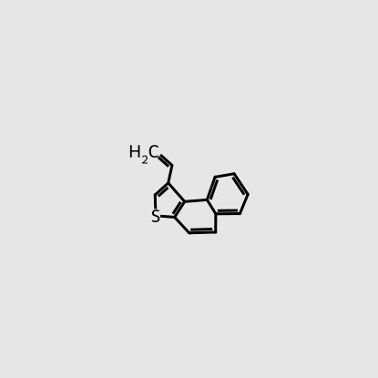 C=Cc1csc2ccc3ccccc3c12